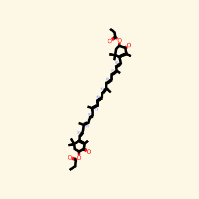 CCC(=O)OC1CC(C)(C)C(/C=C/C(C)=C/C=C/C(C)=C/C=C/C=C(C)/C=C/C=C(C)/C=C/C2=C(C)C(=O)C(OC(=O)CC)CC2(C)C)=C(C)C1=O